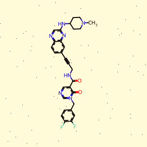 CN1CCC(Nc2cnc3ccc(C#CCNC(=O)c4cncn(Cc5ccc(F)c(F)c5)c4=O)cc3n2)CC1